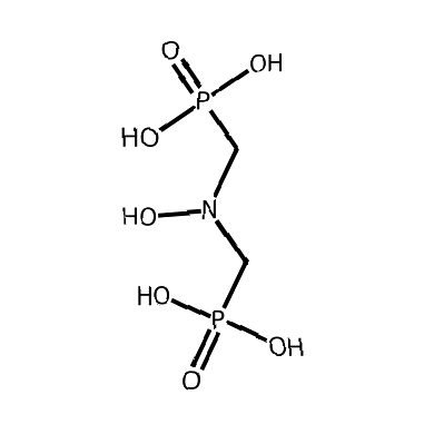 O=P(O)(O)CN(O)CP(=O)(O)O